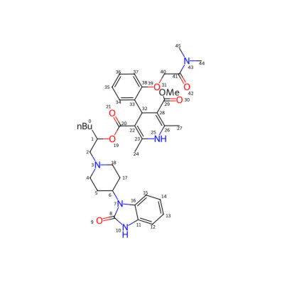 CCCCC(CN1CCC(n2c(=O)[nH]c3ccccc32)CC1)OC(=O)C1=C(C)NC(C)=C(C(=O)OC)C1c1ccccc1OCC(=O)N(C)C